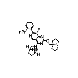 CCCc1ccccc1-c1ncc2c(N3C[C@H]4CC[C@@H](C3)N4)nc(OCC34CCCN3CCC4)nc2c1F